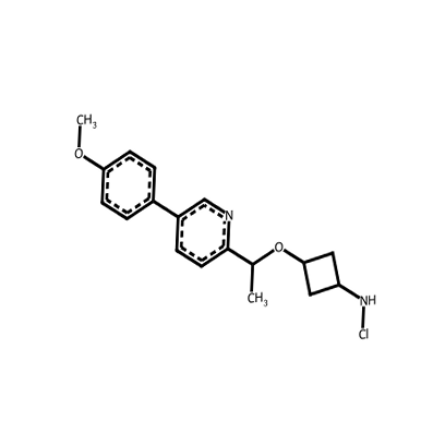 COc1ccc(-c2ccc(C(C)OC3CC(NCl)C3)nc2)cc1